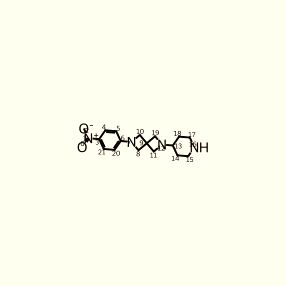 O=[N+]([O-])c1ccc(N2CC3(C2)CN(C2CCNCC2)C3)cc1